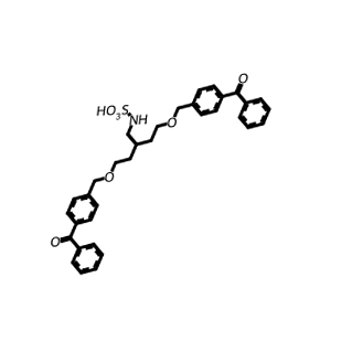 O=C(c1ccccc1)c1ccc(COCCC(CCOCc2ccc(C(=O)c3ccccc3)cc2)CNS(=O)(=O)O)cc1